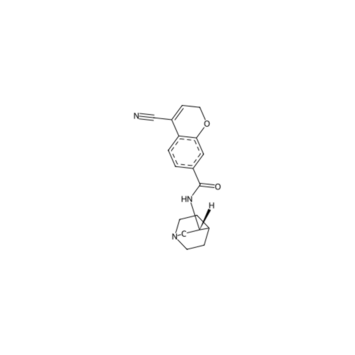 N#CC1=CCOc2cc(C(=O)N[C@H]3CN4CCC3CC4)ccc21